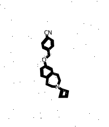 N#Cc1ccc(COc2ccc3c(c2)CCN(C2=CC=C2)CC3)cc1